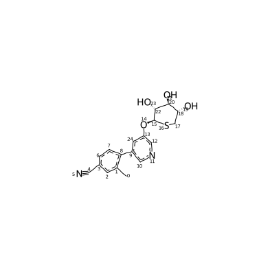 Cc1cc(C#N)ccc1-c1cncc(O[C@@H]2SC[C@@H](O)[C@H](O)[C@H]2O)c1